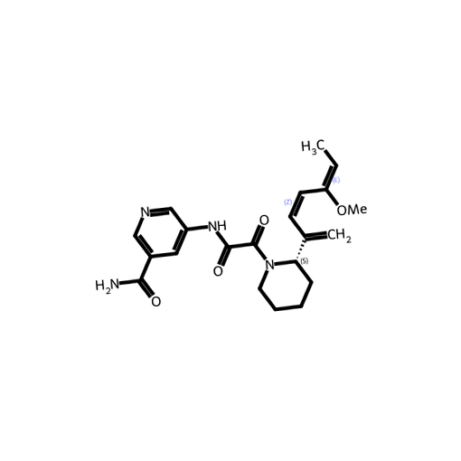 C=C(/C=C\C(=C/C)OC)[C@@H]1CCCCN1C(=O)C(=O)Nc1cncc(C(N)=O)c1